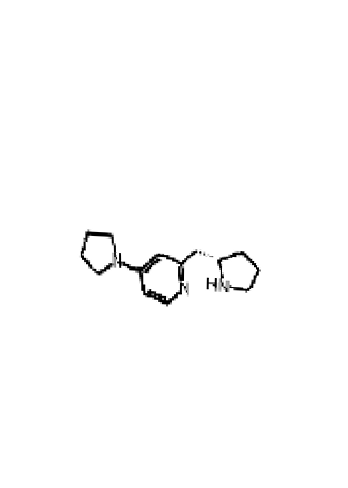 c1cc(N2CCCC2)cc(C[C@@H]2CCCN2)n1